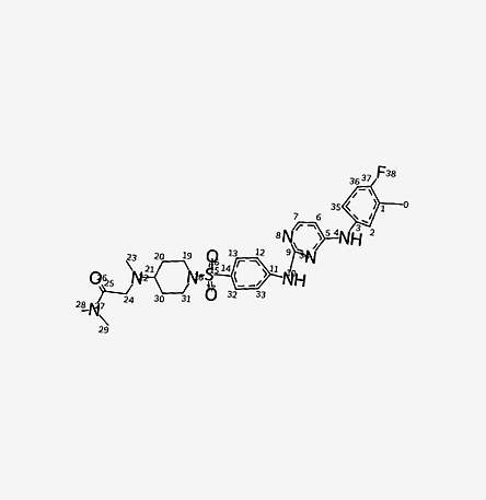 Cc1cc(Nc2ccnc(Nc3ccc(S(=O)(=O)N4CCC(N(C)CC(=O)N(C)C)CC4)cc3)n2)ccc1F